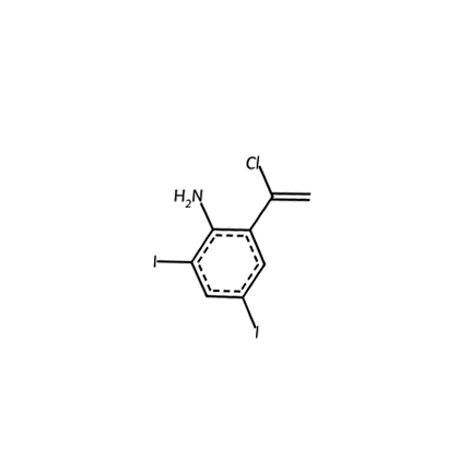 C=C(Cl)c1cc(I)cc(I)c1N